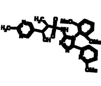 COc1cccc(-c2nnc(NS(=O)(=O)[C@H](C)[C@@H](O)c3cnc(C)nc3)n2-c2c(OC)cccc2OC)n1